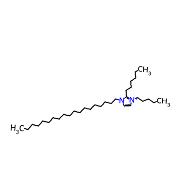 CCCCCCCCCCCCCCCCCCCn1cc[n+](CCCCC)c1CCCCCC